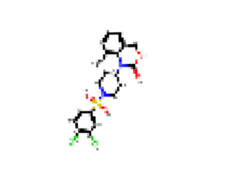 Cc1cccc2c1N(C1CCN(S(=O)(=O)c3ccc(Cl)c(Cl)c3)CC1)C(=O)OC2